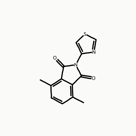 Cc1ccc(C)c2c1C(=O)N(c1cscn1)C2=O